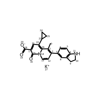 Cc1c(-c2ccc3c(c2)CCN3)ccn2c(=O)c(C(=O)[O-])cc(C3CC3)c12.[K+]